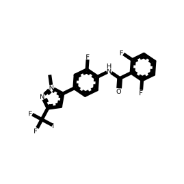 Cn1nc(C(F)(F)I)cc1-c1ccc(NC(=O)c2c(F)cccc2F)c(F)c1